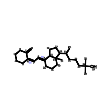 C=C1CCCC/C1=C/C=C1\CCCC2(C)C1CCC2C(C)CCCC(C)(C)O